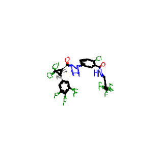 O=C(NCC(F)(F)F)c1cc(NC(=O)[C@@H]2[C@H](c3cc(F)c(F)c(F)c3)C2(Cl)Cl)ccc1Cl